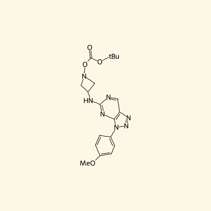 COc1ccc(-n2nnc3cnc(NC4CN(OC(=O)OC(C)(C)C)C4)nc32)cc1